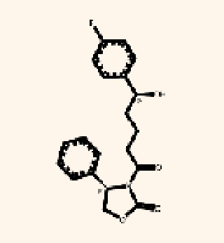 O=C(CCC[C@H](O)c1ccc(F)cc1)N1C(=O)OC[C@H]1c1ccccc1